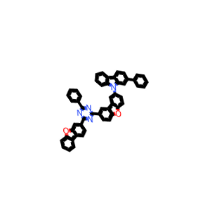 c1ccc(-c2ccc3c4ccccc4n(-c4ccc5oc6ccc(-c7nc(-c8ccccc8)nc(-c8ccc9c(c8)oc8ccccc89)n7)cc6c5c4)c3c2)cc1